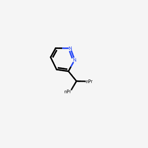 CCCC(CCC)c1cccnn1